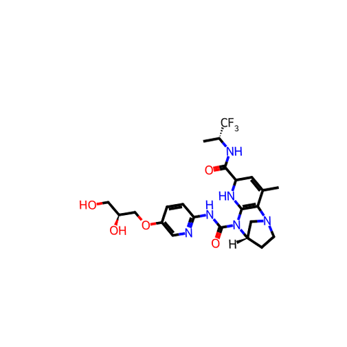 CC1=CC(C(=O)N[C@H](C)C(F)(F)F)NC2=C1N1CC[C@@H](C1)N2C(=O)Nc1ccc(OC[C@@H](O)CO)cn1